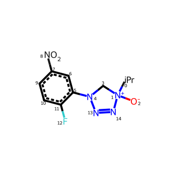 CC(C)[N+]1([O-])CN(c2cc([N+](=O)[O-])ccc2F)N=N1